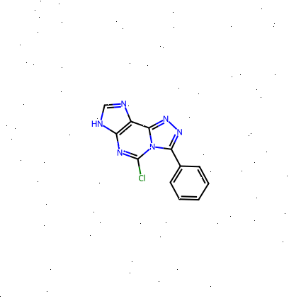 Clc1nc2[nH]cnc2c2nnc(-c3ccccc3)n12